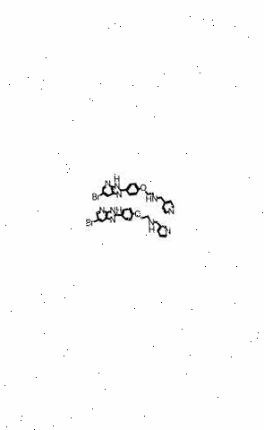 Brc1cnc2[nH]c(-c3ccc(OCCNCc4cccnc4)cc3)nc2c1.Brc1cnc2[nH]c(-c3ccc(OCCNCc4ccncc4)cc3)nc2c1